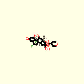 C[C@]12C=CC(=O)C=C1[C@@H](F)C[C@H]1[C@@H]3C[C@H]4O[C@@H](C5CCOCC5)O[C@@]4(C(=O)CO)[C@@]3(C)C[C@H](O)[C@@]12F